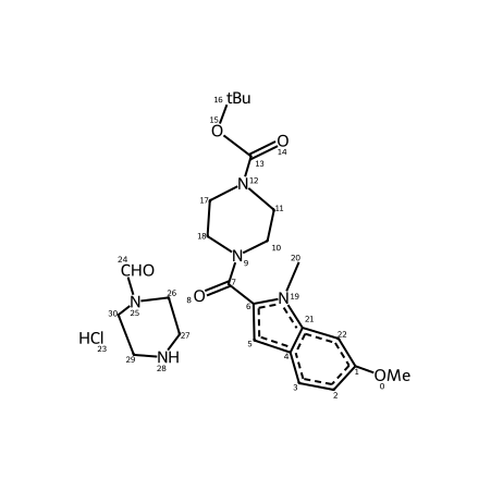 COc1ccc2cc(C(=O)N3CCN(C(=O)OC(C)(C)C)CC3)n(C)c2c1.Cl.O=CN1CCNCC1